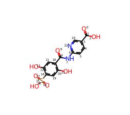 O=C(O)c1ccc(NC(=O)c2cc(O)c(S(=O)(=O)O)cc2O)nc1